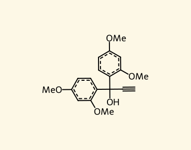 C#CC(O)(c1ccc(OC)cc1OC)c1ccc(OC)cc1OC